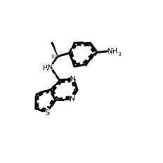 C[C@H](Nc1ncnc2sccc12)c1ccc(N)cc1